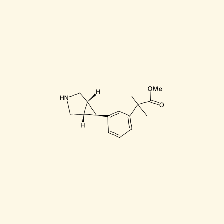 COC(=O)C(C)(C)c1cccc([C@H]2[C@@H]3CNC[C@@H]32)c1